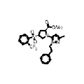 COC(=O)[C@@H]1C[C@@H](S(=O)(=O)c2ccccc2C(F)(F)F)CN1c1cc(C)nn1CCc1ccccc1